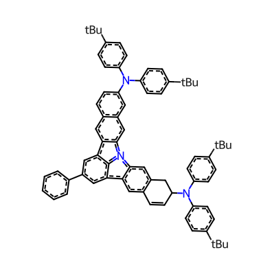 CC(C)(C)c1ccc(N(c2ccc(C(C)(C)C)cc2)c2ccc3cc4c5cc(-c6ccccc6)cc6c7cc8c(cc7n(c4cc3c2)c65)CC(N(c2ccc(C(C)(C)C)cc2)c2ccc(C(C)(C)C)cc2)C=C8)cc1